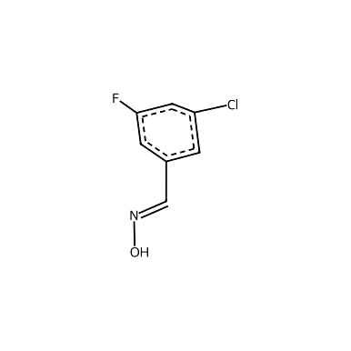 ON=Cc1cc(F)cc(Cl)c1